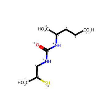 O=C(O)CCC(NC(=O)NCC(S)C(=O)O)C(=O)O